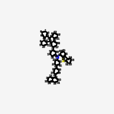 c1ccc(-c2c(-c3ccccc3)c3cc(-c4cccc(N(c5ccc(-c6ccc(-c7cccc8ccccc78)cc6)cc5)c5cccc6c5sc5ccccc56)c4)ccc3c3ccccc23)cc1